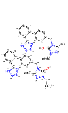 CCCCCCn1nc(CCCC)n(Cc2ccc(-c3ccccc3-c3nnn[nH]3)cc2)c1=O.CCCCc1nn(CC(=O)OCC)c(=O)n1Cc1ccc(-c2ccccc2-c2nnn[nH]2)cc1